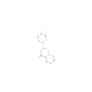 O=c1cc(-c2ccc(O)cc2)[nH]c2c(F)c(F)ccc12